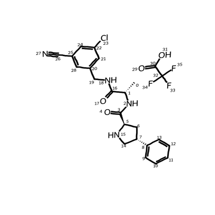 C[C@H](NC(=O)[C@H]1C[C@H](c2ccccc2)CN1)C(=O)NCc1cc(Cl)cc(C#N)c1.O=C(O)C(F)(F)F